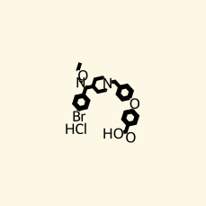 CCON=C(c1ccc(Br)cc1)C1CCN(Cc2ccc(Oc3ccc(C(=O)O)cc3)cc2)CC1.Cl